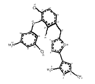 Cc1nn(C)cc1-c1nnc(Cc2ccc(Cl)c(Oc3cc(N)cc(Cl)c3)c2F)o1